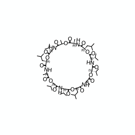 CC(C)C[C@H]1OC(=O)[C@H](C(C)C)NC(=O)C(C)OC(=O)[C@@H](C)NC(=O)[C@@H](CC(C)C)OC(=O)[C@H](C(C)C)NC(=O)[C@H](C(C)C)OC(=O)[C@@H](C)NC(=O)[C@@H](CC(C)C)OC(=O)[C@H](C(C)C)NC(=O)[C@H](C(C)C)OC(=O)[C@@H](C)NC1=O